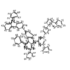 c1ccc(-c2cc(-c3ccc(-c4cccc5c4sc4ccccc45)cc3)nc(-n3c4ccc(-c5ccc6c(c5)c5ccccc5n6-c5ccccc5)cc4c4c(-c5ccccc5)nc(-c5ccccc5)nc43)n2)cc1